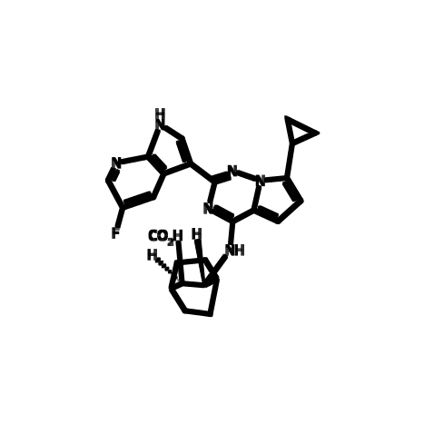 O=C(O)[C@@H]1C2CCC(CC2)[C@H]1Nc1nc(-c2c[nH]c3ncc(F)cc23)nn2c(C3CC3)ccc12